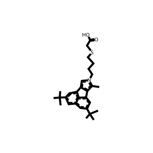 Cc1c2c(cn1CCCCSCC(=O)O)-c1cc(C(C)(C)C)cc3cc(C(C)(C)C)cc-2c13